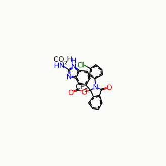 O=C(O)Nc1nc2cc(C3(OC(=O)C(F)(F)F)c4ccccc4C(=O)N3c3cccc(Cl)c3)ccc2[nH]1